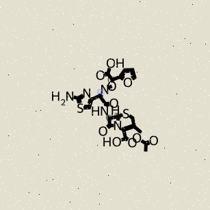 CC(=O)OCC1=C(C(=O)O)N2C(=O)[C@H](NC(=O)/C(=N\O[C@H](C(=O)O)c3ccco3)c3csc(N)n3)[C@H]2SC1